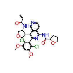 C=CC(=O)N[C@H]1COC[C@H]1c1c(-c2c(Cl)c(OC)cc(OC)c2Cl)nc(NC(=O)C2CCCO2)c2ccncc12